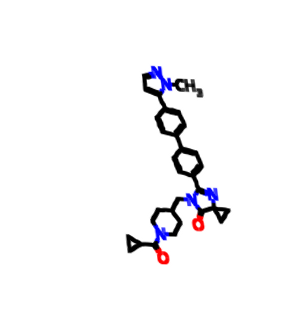 Cn1nccc1-c1ccc(-c2ccc(C3=NC4(CC4)C(=O)N3CC3CCN(C(=O)C4CC4)CC3)cc2)cc1